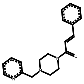 O=C(/C=C/c1ccccc1)N1CCN(Cc2ccccn2)CC1